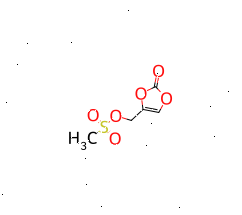 CS(=O)(=O)OCc1coc(=O)o1